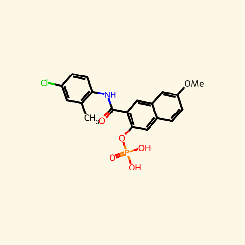 COc1ccc2cc(OP(=O)(O)O)c(C(=O)Nc3ccc(Cl)cc3C)cc2c1